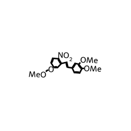 COCOc1ccc([N+](=O)[O-])c(/C=C/c2ccc(OC)c(OC)c2)c1